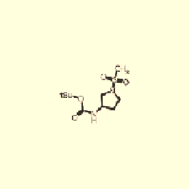 CC(C)(C)OC(=O)NC1CCN(S(C)(=O)=O)C1